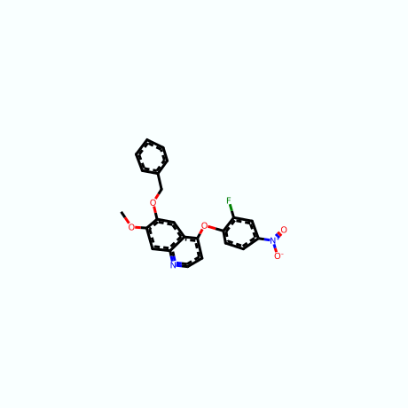 COc1cc2nccc(Oc3ccc([N+](=O)[O-])cc3F)c2cc1OCc1ccccc1